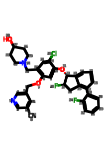 N#Cc1cncc(COc2cc(O[C@@H]3c4cccc(-c5ccccc5F)c4C[C@H]3F)c(Cl)cc2CN2CCC(O)CC2)c1